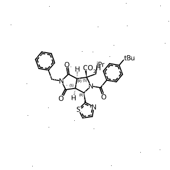 CC(C)C[C@@]1(C(=O)O)[C@@H]2C(=O)N(Cc3ccccc3)C(=O)[C@@H]2[C@H](c2nccs2)N1C(=O)c1ccc(C(C)(C)C)cc1